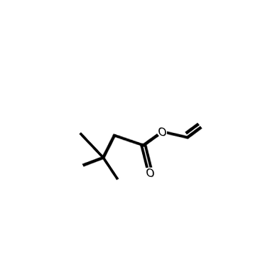 C=COC(=O)CC(C)(C)C